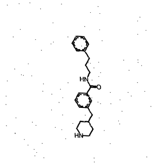 O=C(NCCCc1ccccc1)c1cccc(CC2CCNCC2)c1